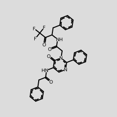 O=C(Cc1ccccc1)Nc1cnc(-c2ccccc2)n(CC(=O)NC(Cc2ccccc2)C(=O)C(F)(F)F)c1=O